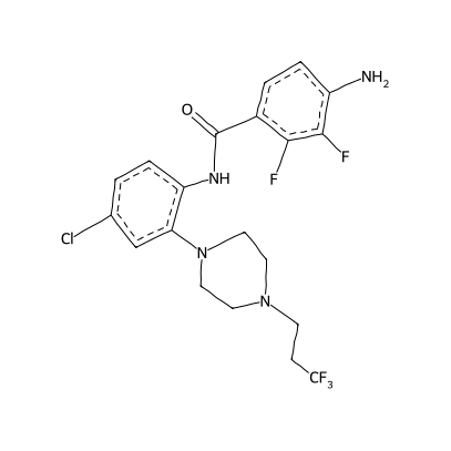 Nc1ccc(C(=O)Nc2ccc(Cl)cc2N2CCN(CCC(F)(F)F)CC2)c(F)c1F